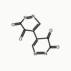 O=C1N=NC=C(C2=CN=NC(=O)C2=O)C1=O